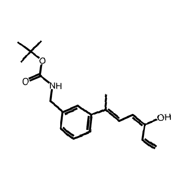 C=C/C(O)=C\C=C(/C)c1cccc(CNC(=O)OC(C)(C)C)c1